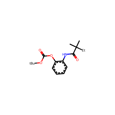 CCC(C)(C)C(=O)Nc1ccccc1OC(=O)OC(C)(C)C